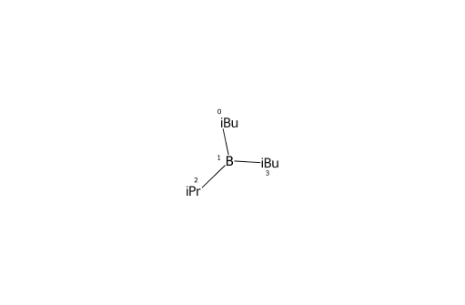 CCC(C)B(C(C)C)C(C)CC